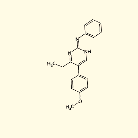 CCc1nc(=Nc2ccccc2)[nH]cc1-c1ccc(OC)cc1